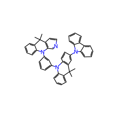 CC1(C)c2ccccc2N(c2cccc(N3c4ccccc4C(C)(C)c4cc(-n5c6ccccc6c6ccccc65)ccc43)c2)c2cnccc21